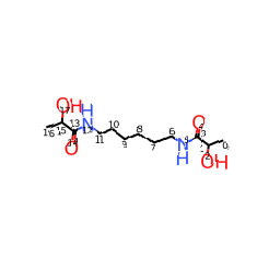 CC(O)C(=O)NCCCCCCNC(=O)C(C)O